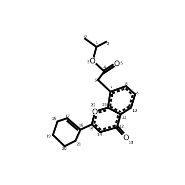 CC(C)OC(=O)Cc1cccc2c(=O)cc(C3=CCCCC3)oc12